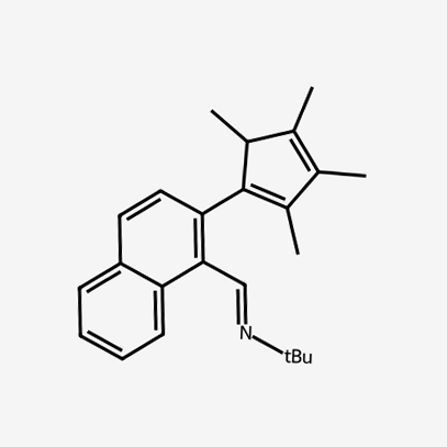 CC1=C(C)C(C)C(c2ccc3ccccc3c2C=NC(C)(C)C)=C1C